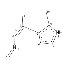 C=N/C=C(/C)c1cc[nH]c1C